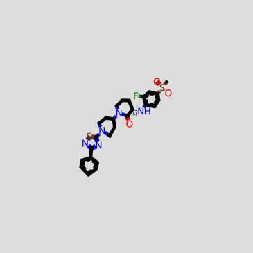 CS(=O)(=O)c1ccc(N[C@H]2CCCN(C3CCN(c4nc(-c5ccccc5)ns4)CC3)C2=O)c(F)c1